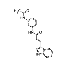 CC(=O)Nc1cccc(NC(=O)C=Cc2n[nH]c3ccccc23)c1